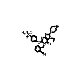 CCn1c(N2CCNCC2)nc2nc(Oc3ccc(S(N)(=O)=O)cc3)n(Cc3ccccc3C#N)c(=O)c21